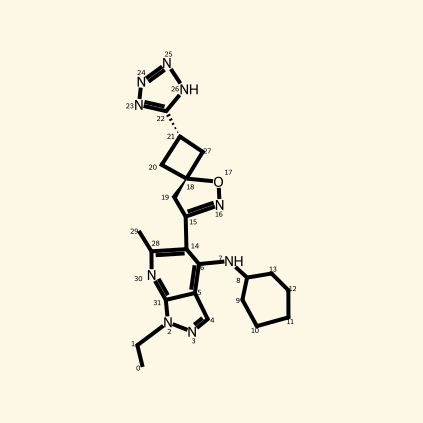 CCn1ncc2c(NC3CCCCC3)c(C3=NO[C@]4(C3)C[C@H](c3nnn[nH]3)C4)c(C)nc21